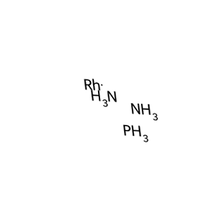 N.N.P.[Rh]